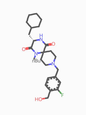 CCCCN1C(=O)[C@H](CC2CCCCC2)NC(=O)C12CCN(Cc1ccc(CO)c(F)c1)CC2